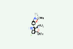 COC(=O)c1cc(F)cc2[nH]c(-c3ccc(CN(C)C(=O)OC)cc3)c(/C=C/[N+](=O)[O-])c12